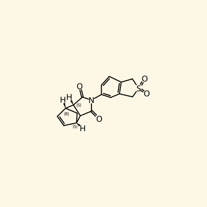 O=C1C2[C@@H]3C=C[C@@H](C3)[C@@H]2C(=O)N1c1ccc2c(c1)CS(=O)(=O)C2